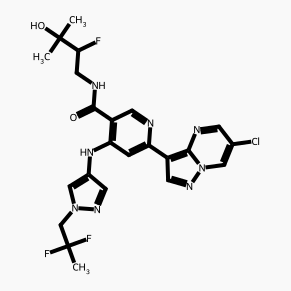 CC(F)(F)Cn1cc(Nc2cc(-c3cnn4cc(Cl)cnc34)ncc2C(=O)NCC(F)C(C)(C)O)cn1